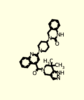 CC1(C)CN(C(=O)c2cc(N3CCC(N4Cc5ccccc5NC4=O)CC3)nc3ccccc23)Cc2cn[nH]c21